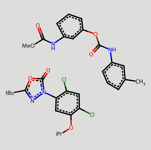 CC(C)Oc1cc(-n2nc(C(C)(C)C)oc2=O)c(Cl)cc1Cl.COC(=O)Nc1cccc(OC(=O)Nc2cccc(C)c2)c1